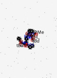 COC(=O)CSC(C)(C)[C@H](NC(=O)OC(C)(C)C)C(=O)N[C@@H](Cc1ccc([C@H]2C[C@@H](C(=O)N[C@@H]3CCCc4ccccc43)N(C(=O)[C@@H](NC(=O)OCc3ccccc3)C(C)(C)C)C2)cc1)C(=O)N[C@@H]1CCCc2ccccc21